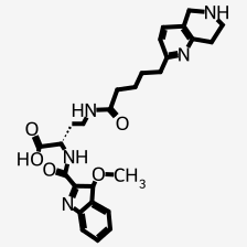 COC1C(C(=O)N[C@@H](CCNC(=O)CCCCc2ccc3c(n2)CCNC3)C(=O)O)=Nc2ccccc21